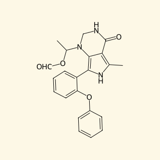 Cc1[nH]c(-c2ccccc2Oc2ccccc2)c2c1C(=O)NCN2C(C)OC=O